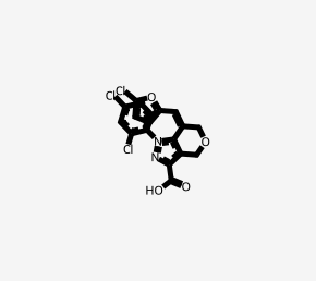 O=C(O)c1nn(-c2ccc(Cl)cc2Cl)c2c1COC/C2=C/c1ccc(Cl)o1